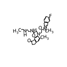 CCNCCNC(=O)CN(CC(=O)N(C)N1Cc2ccc(F)cc2C1)c1cc2c(cc1C)CCC2=O